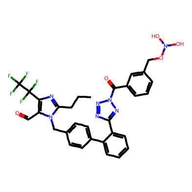 CCCc1nc(C(F)(F)C(F)(F)F)c(C=O)n1Cc1ccc(-c2ccccc2-c2nnn(C(=O)c3cccc(CON(O)O)c3)n2)cc1